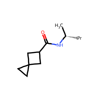 CC(C)[C@@H](C)NC(=O)C1CC2(CC2)C1